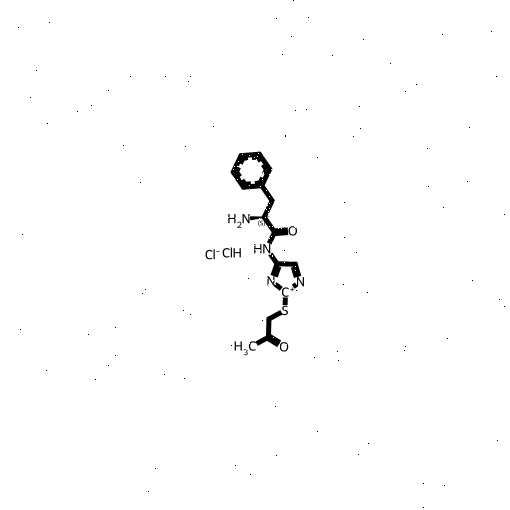 CC(=O)CS[C+]1N=CC(NC(=O)[C@@H](N)Cc2ccccc2)=N1.Cl.[Cl-]